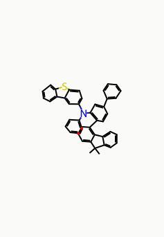 CC1(C)c2ccccc2-c2c(-c3ccc(-c4ccccc4)cc3N(c3ccccc3)c3ccc4sc5ccccc5c4c3)cccc21